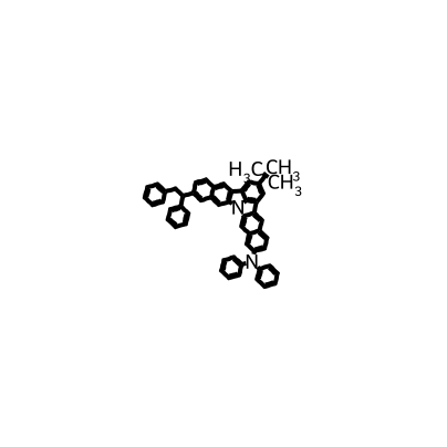 CC(C)(C)c1cc2c3cc4ccc(C(Cc5ccccc5)c5ccccc5)cc4cc3n3c4cc5cc(N(c6ccccc6)c6ccccc6)ccc5cc4c(c1)c23